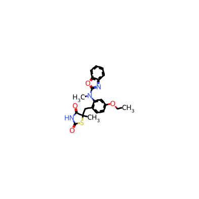 CCOc1ccc(CC2(C)SC(=O)NC2=O)c(N(C)c2nc3ccccc3o2)c1